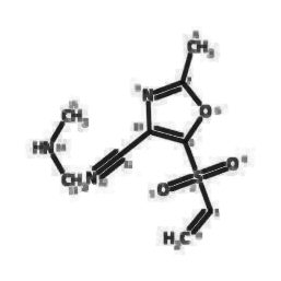 C=CS(=O)(=O)c1oc(C)nc1C#N.CNC